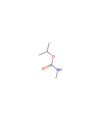 [CH2]C(C)OC(=O)NC